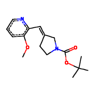 COc1cccnc1/C=C1\CCN(C(=O)OC(C)(C)C)C1